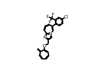 C=C1C=CC=CC=C1OCc1cn2c(n1)C=C=CC(c1ccc(Cl)cc1C(F)(F)F)=C2